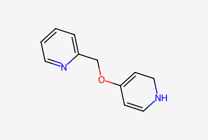 C1=CC(OCc2ccccn2)=CCN1